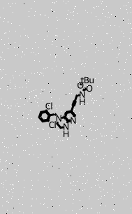 CC(C)(C)OC(=O)NCC#Cc1cnc2c(c1)N(Cc1c(Cl)cccc1Cl)CCN2